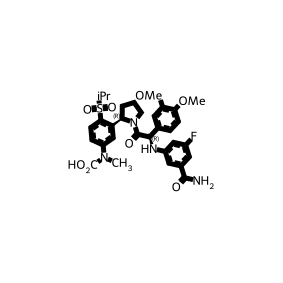 COc1ccc([C@@H](Nc2cc(F)cc(C(N)=O)c2)C(=O)N2CCC[C@@H]2c2cc(N(C)C(=O)O)ccc2S(=O)(=O)C(C)C)cc1OC